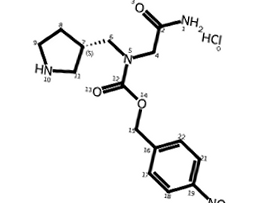 Cl.NC(=O)CN(C[C@H]1CCNC1)C(=O)OCc1ccc([N+](=O)[O-])cc1